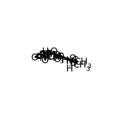 CC(C)(C)OC(=O)NCCCCOC(=O)OCC(=O)[C@@]1(O)CC[C@H]2[C@@H]3CCC4=CC(=O)CC[C@]4(C)[C@H]3C(=O)C[C@@]21C